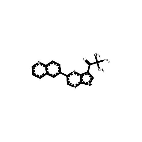 CC(C)(C)C(=O)c1c[nH]c2ncc(-c3ccc4ncccc4c3)nc12